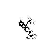 CC(C)(C)OC(=O)N1CCC2(CC1)Cc1ccc(Cl)cc1C2NSC(C)(C)C